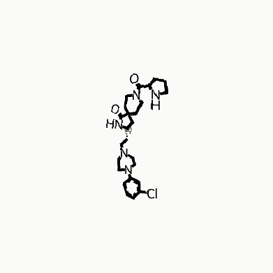 O=C(C1CCCN1)N1CCC2(CC1)C[C@H](CCN1CCN(c3cccc(Cl)c3)CC1)NC2=O